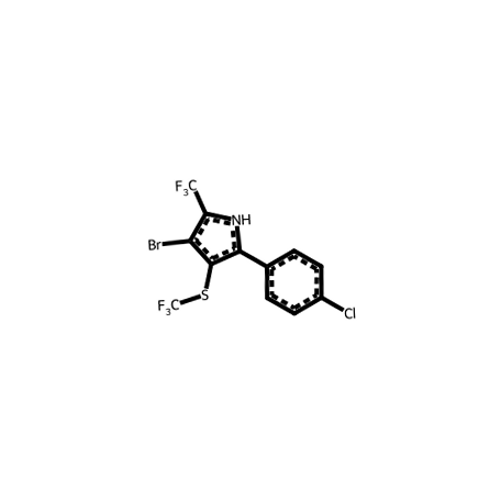 FC(F)(F)Sc1c(-c2ccc(Cl)cc2)[nH]c(C(F)(F)F)c1Br